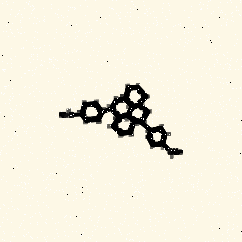 COc1ccc(-c2cc3cccc4cc(-c5ccc(OC)cc5)c5cccc2c5c34)cc1